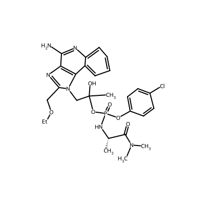 CCOCc1nc2c(N)nc3ccccc3c2n1CC(C)(O)OP(=O)(N[C@@H](C)C(=O)N(C)C)Oc1ccc(Cl)cc1